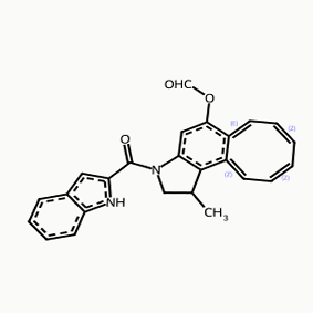 CC1CN(C(=O)c2cc3ccccc3[nH]2)c2cc(OC=O)c3/c(c21)=C\C=C/C=C\C=3